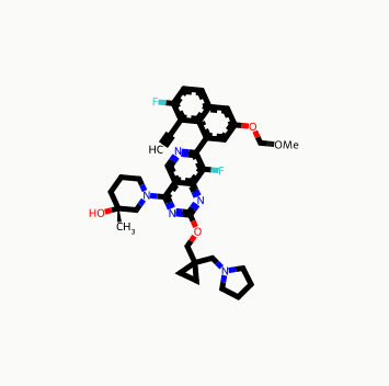 C#Cc1c(F)ccc2cc(OCOC)cc(-c3ncc4c(N5CCC[C@@](C)(O)C5)nc(OCC5(CN6CCCC6)CC5)nc4c3F)c12